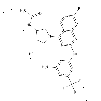 CC(=O)NC1CCN(c2nc(Nc3cc(N)cc(C(F)(F)F)c3)nc3cc(F)ccc23)C1.Cl